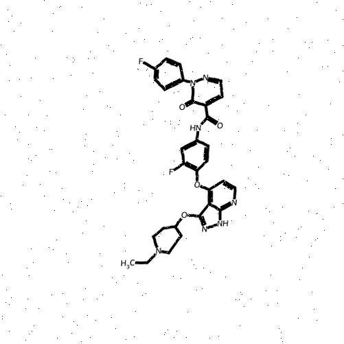 CCN1CCC(Oc2n[nH]c3nccc(Oc4ccc(NC(=O)c5ccnn(-c6ccc(F)cc6)c5=O)cc4F)c23)CC1